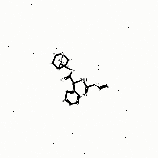 C=COC(=O)NC(C(=O)OC1CN2CCC1CC2)c1ccccc1